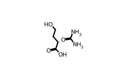 NC(N)=O.O=C(O)CCCO